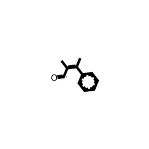 CC([C]=O)=C(C)c1ccccc1